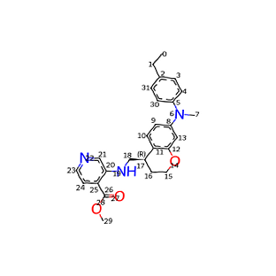 CCc1ccc(N(C)c2ccc3c(c2)OCC[C@H]3CNc2cnccc2C(=O)OC)cc1